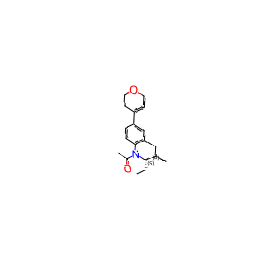 CC[C@H]1[C@H](C)Cc2cc(C3=CCOCC3)ccc2N1C(C)=O